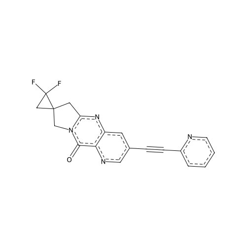 O=c1c2ncc(C#Cc3ccccn3)cc2nc2n1CC1(C2)CC1(F)F